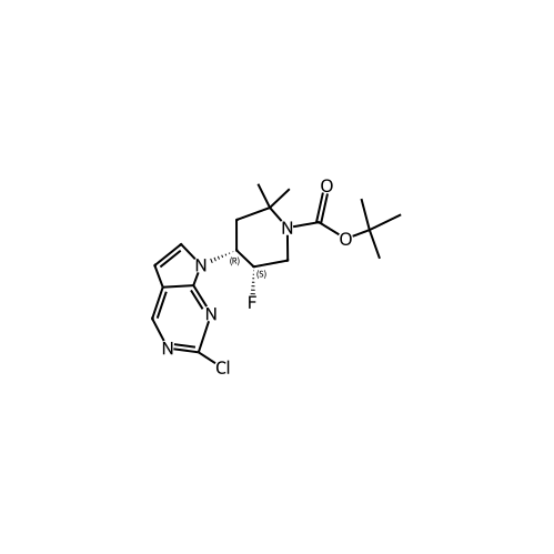 CC(C)(C)OC(=O)N1C[C@H](F)[C@H](n2ccc3cnc(Cl)nc32)CC1(C)C